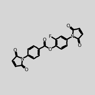 O=C(Oc1ccc(N2C(=O)C=CC2=O)cc1F)c1ccc(N2C(=O)C=CC2=O)cc1